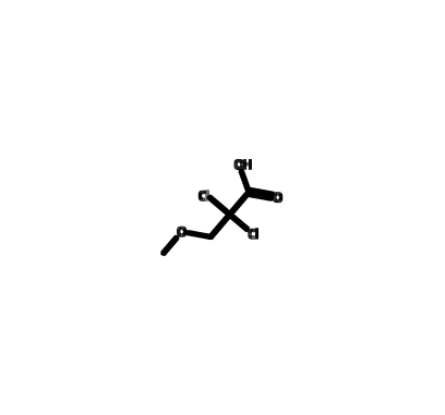 COCC(Cl)(Cl)C(=O)O